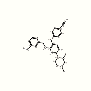 COc1cccc(COc2nc(N3CCN(C)CC3C)ncc2Sc2ccc(C#N)cc2)c1